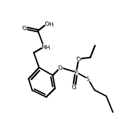 CCCSP(=O)(OCC)Oc1ccccc1CNC(=O)O